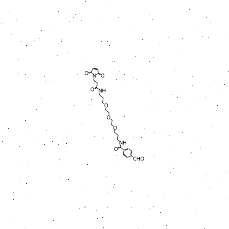 O=Cc1ccc(C(=O)NCCCOCCOCCOCCCNC(=O)CCN2C(=O)C=CC2=O)cc1